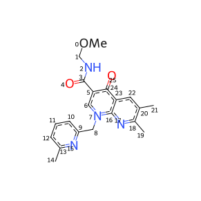 COCNC(=O)c1cn(Cc2cccc(C)n2)c2nc(C)c(C)cc2c1=O